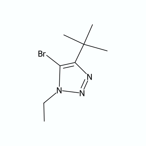 CCn1nnc(C(C)(C)C)c1Br